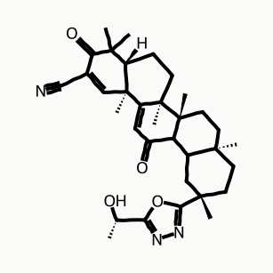 C[C@H](O)c1nnc([C@@]2(C)CC[C@]3(C)CC[C@]4(C)C(C(=O)C=C5[C@@]6(C)C=C(C#N)C(=O)C(C)(C)[C@@H]6CC[C@]54C)C3C2)o1